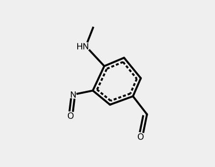 CNc1ccc(C=O)cc1N=O